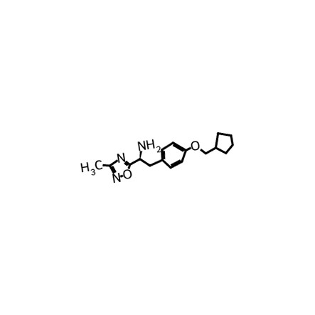 Cc1noc([C@@H](N)Cc2ccc(OCC3CCCC3)cc2)n1